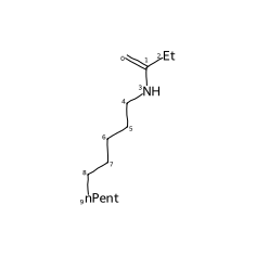 C=C(CC)NCCCCCCCCCC